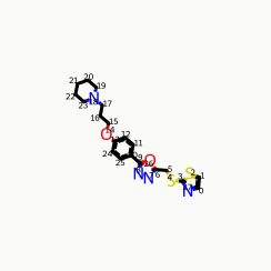 c1csc(SCc2nnc(-c3ccc(OCCCN4CCCCC4)cc3)o2)n1